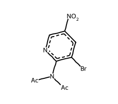 CC(=O)N(C(C)=O)c1ncc([N+](=O)[O-])cc1Br